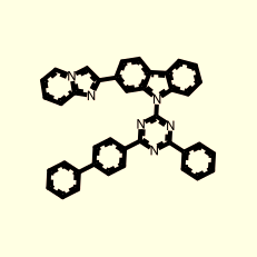 c1ccc(-c2ccc(-c3nc(-c4ccccc4)nc(-n4c5ccccc5c5ccc(-c6cn7ccccc7n6)cc54)n3)cc2)cc1